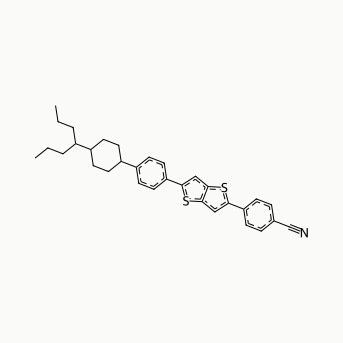 CCCC(CCC)C1CCC(c2ccc(-c3cc4sc(-c5ccc(C#N)cc5)cc4s3)cc2)CC1